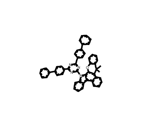 CC1(C)c2ccccc2Oc2c1c1ccccc1c1c3ccccc3n(-c3nc(-c4ccc(-c5ccccc5)cc4)nc(-c4ccc(-c5ccccc5)cc4)n3)c21